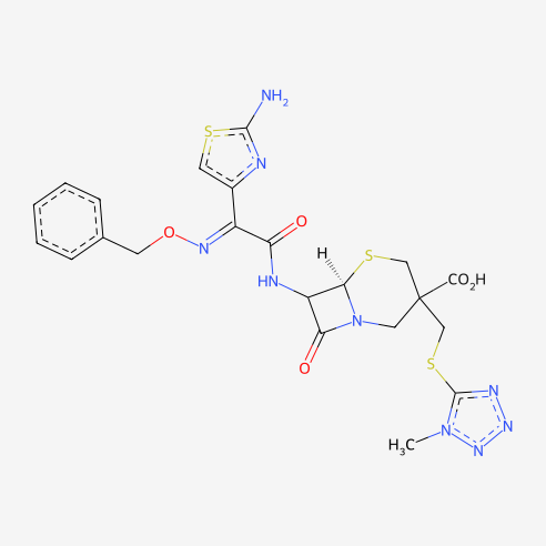 Cn1nnnc1SCC1(C(=O)O)CS[C@@H]2C(NC(=O)C(=NOCc3ccccc3)c3csc(N)n3)C(=O)N2C1